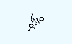 C=CCn1cc(-c2ccc(OC)c(F)c2)c(NS(=O)(=O)c2ccccc2)n1